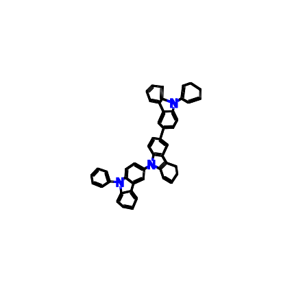 C1=CC(n2c3ccccc3c3cc(-c4ccc5c(c4)c4c(n5-c5ccc6c(c5)c5ccccc5n6-c5ccccc5)C=CCC4)ccc32)=CCC1